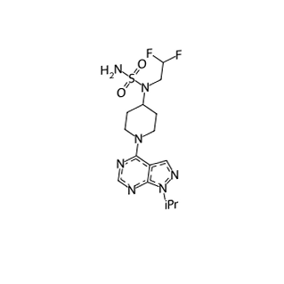 CC(C)n1ncc2c(N3CCC(N(CC(F)F)S(N)(=O)=O)CC3)ncnc21